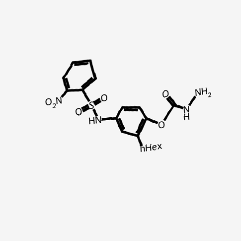 CCCCCCc1cc(NS(=O)(=O)c2ccccc2[N+](=O)[O-])ccc1OC(=O)NN